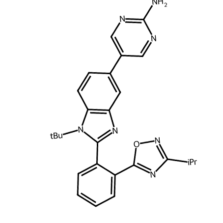 CC(C)c1noc(-c2ccccc2-c2nc3cc(-c4cnc(N)nc4)ccc3n2C(C)(C)C)n1